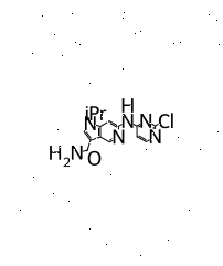 CC(C)n1cc(C(N)=O)c2cnc(Nc3ccnc(Cl)n3)cc21